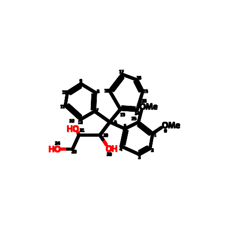 COc1cccc(C(c2ccccc2)(c2ccccc2)C(O)C(O)CO)c1OC